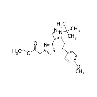 CCOC(=O)Cc1csc(-c2cnn(C(C)(C)C)c2CCc2ccc(OC)cc2)n1